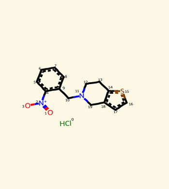 Cl.O=[N+]([O-])c1ccccc1CN1CCc2sccc2C1